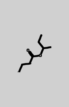 [CH2]C[CH]C(=O)OC(C)CC